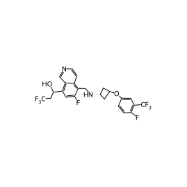 OC(CC(F)(F)F)c1cc(F)c(CN[C@H]2C[C@H](Oc3ccc(F)c(C(F)(F)F)c3)C2)c2ccncc12